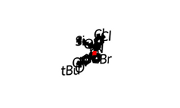 CC(C)(C)OC(=O)N1CCC(COc2nc3cc(Cl)c(Cl)cc3n2COCC[Si](C)(C)C)(c2ccc(Br)cc2)CC1